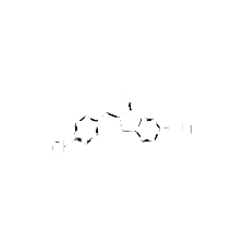 O=C1/C(=C/c2ccc(Cl)cc2)Cc2ccc(O)cc21